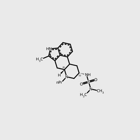 CCCN1C[C@@H](NS(=O)(=O)N(C)C)CC2c3cccc4[nH]c(C)c(c34)C[C@H]21